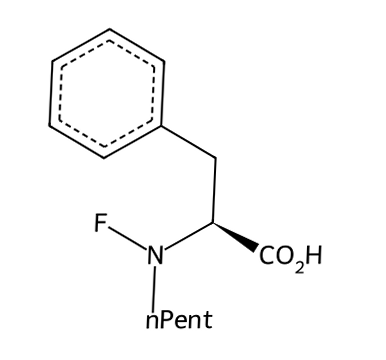 CCCCCN(F)[C@@H](Cc1ccccc1)C(=O)O